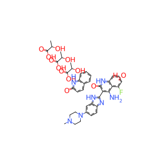 CC(O)C(=O)O.CC(O)C(=O)O.CC(O)C(=O)O.CN1CCN(c2ccc3nc(-c4c(N)c5c(F)cccc5[nH]c4=O)[nH]c3c2)CC1.O.O=c1ccc2ccccc2[nH]1